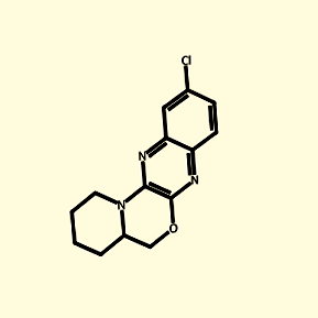 Clc1ccc2nc3c(nc2c1)N1CCCCC1CO3